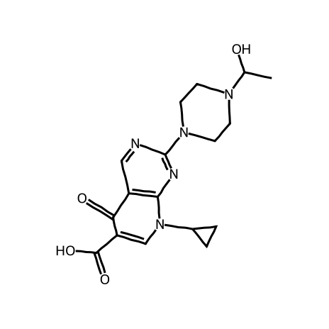 CC(O)N1CCN(c2ncc3c(=O)c(C(=O)O)cn(C4CC4)c3n2)CC1